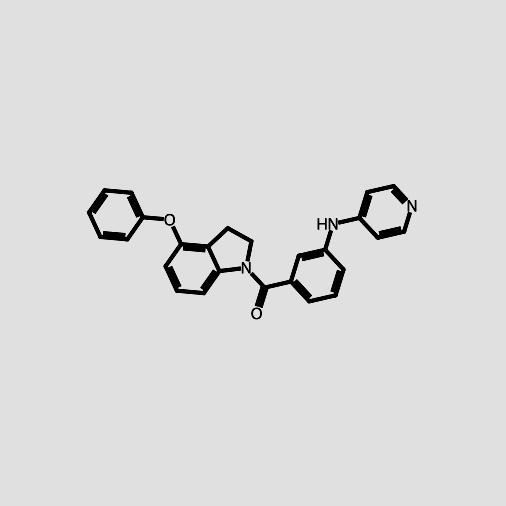 O=C(c1cccc(Nc2ccncc2)c1)N1CCc2c(Oc3ccccc3)cccc21